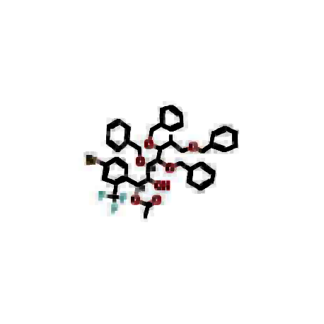 CC(=O)O[C@H](c1ccc(Br)cc1C(F)(F)F)C(O)[C@H](OCc1ccccc1)C(OCc1ccccc1)C(OCc1ccccc1)C(C)COCc1ccccc1